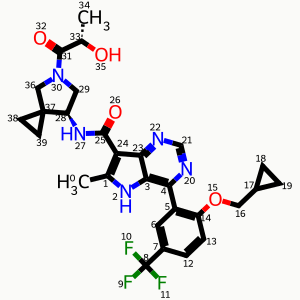 Cc1[nH]c2c(-c3cc(C(F)(F)F)ccc3OCC3CC3)ncnc2c1C(=O)N[C@@H]1CN(C(=O)[C@H](C)O)CC12CC2